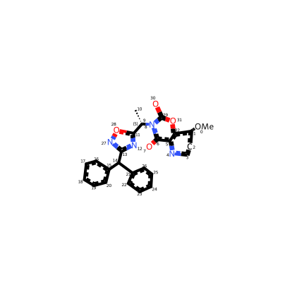 COc1ccnc2c(=O)n([C@@H](C)c3nc(C(c4ccccc4)c4ccccc4)no3)c(=O)oc12